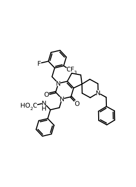 O=C(O)NC(Cn1c(=O)c2c(n(Cc3c(F)cccc3C(F)(F)F)c1=O)CCC21CCN(Cc2ccccc2)CC1)c1ccccc1